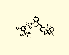 Cc1cc(NC(=O)N[C@H]2CC[C@@H](Oc3ccc4nnc([C@]5(C)CCCN5C)n4c3)c3ccccc32)cc(C(C)(C)C)c1